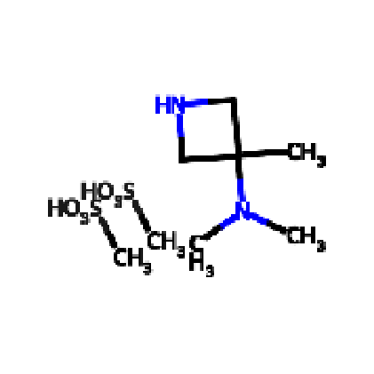 CN(C)C1(C)CNC1.CS(=O)(=O)O.CS(=O)(=O)O